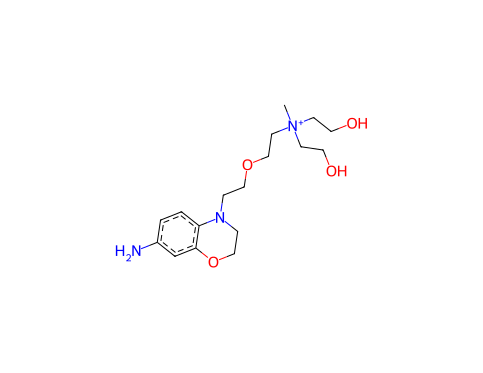 C[N+](CCO)(CCO)CCOCCN1CCOc2cc(N)ccc21